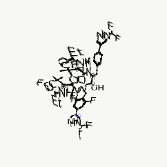 CCC(=O)N[C@H](C(=O)N[C@@H](Cc1ccc(-c2cnn(C(F)F)c2)cc1)[C@@H](O)CN(Cc1c(F)cc(/C(C=N)=C/NC(F)F)cc1F)NC(=O)[C@@H](NC(=O)CC)C(C)(C)C(F)(F)F)C(C)(C)C(F)(F)F